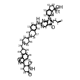 C=CCn1c(=O)c2cnc(Nc3ccc4c(c3)CCN(C3CCN(CC5Cc6ccc7c(C8CCC(=O)NC8=O)noc7c6C5)CC3)C4)nc2n1-c1ccc2c(n1)[C@@](O)(CC)CC2